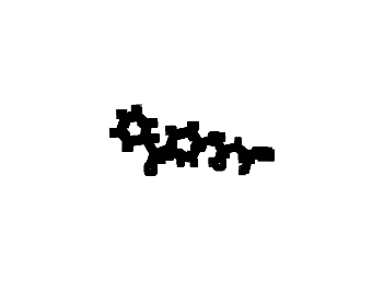 CCN(C)CC(=O)Oc1ccc(C(=O)c2ccccc2)cc1